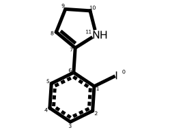 Ic1ccccc1C1=CCCN1